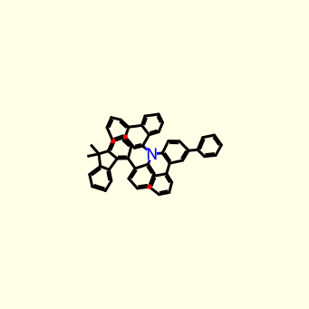 CC1(C)c2ccccc2-c2c(-c3ccccc3N(c3ccc(-c4ccccc4)cc3-c3ccccc3)c3cc4ccccc4c4ccccc34)cccc21